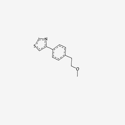 COCCc1ccc(-c2cs[c]n2)cc1